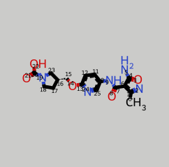 Cc1noc(N)c1C(=O)Nc1ccc(OC[C@@H]2CCN(C(=O)O)C2)nc1